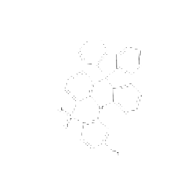 CCc1ccc2c(c1)N1c3ncccc3C(c3ccccc3)(c3ccccc3)c3cccc(c31)S2(=O)=O